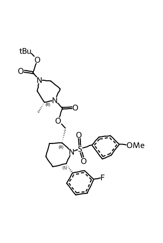 COc1ccc(S(=O)(=O)N2[C@@H](COC(=O)N3CCN(C(=O)OC(C)(C)C)C[C@H]3C)CCC[C@H]2c2cccc(F)c2)cc1